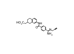 C#CCN=C(N)c1ccc(C(=O)Nc2ccc3c(c2)CC(CC(=O)O)CC3)cc1